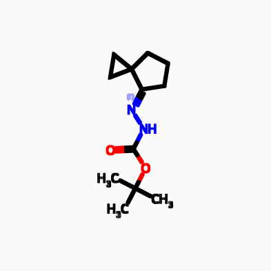 CC(C)(C)OC(=O)N/N=C1\CCCC12CC2